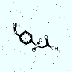 CC(=O)CS(=O)(=O)c1ccc(N=N)cc1